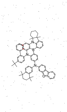 Cc1cc2c3c(c1)N1c4c(cccc4C4(C)CCCCC14C)B3c1ccc(N(c3ccc4c(c3)C(C)(C)CCC4(C)C)c3ccc4c(c3)oc3ccccc34)cc1N2c1ccc(C(C)(C)C)cc1-c1ccccc1